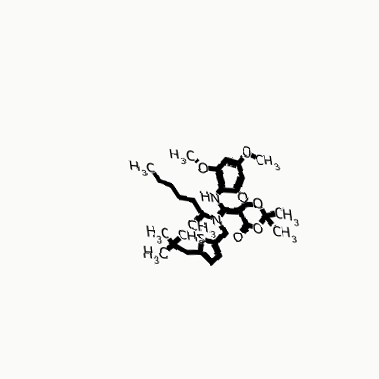 CCCCCC(C)N(Cc1ccc(CC(C)(C)C)s1)C(Nc1ccc(OC)cc1OC)=C1C(=O)OC(C)(C)OC1=O